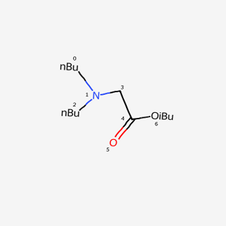 CCCCN(CCCC)CC(=O)OCC(C)C